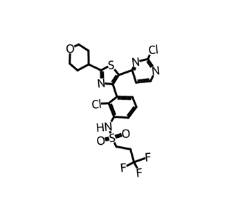 O=S(=O)(CCC(F)(F)F)Nc1cccc(-c2nc(C3CCOCC3)sc2-c2ccnc(Cl)n2)c1Cl